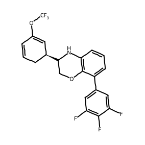 Fc1cc(-c2cccc3c2OCC([C@@H]2C=C(OC(F)(F)F)C=CC2)N3)cc(F)c1F